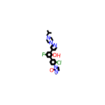 CC(C)CN1CCN(c2cc(-c3cc(F)cc(-c4ccc(-n5ccn(C)c5=O)c(Cl)c4)c3O)ccn2)CC1